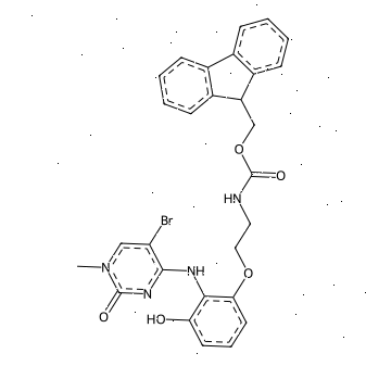 Cn1cc(Br)c(Nc2c(O)cccc2OCCNC(=O)OCC2c3ccccc3-c3ccccc32)nc1=O